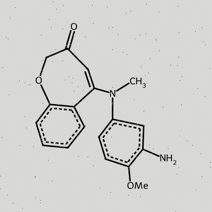 COc1ccc(N(C)C2=CC(=O)COc3ccccc32)cc1N